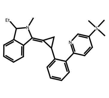 CCC1c2ccccc2/C(=C2/CC2c2ccccc2-c2ccc(S(C)(C)C)cn2)N1C